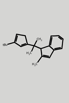 CC1=Cc2ccccc2C1C(C)(C)C1=CC(C(C)(C)C)=CC1